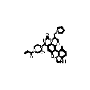 C=CC(=O)N1CCN(c2nc(=O)n3c4c(c(-c5c(C)ccc6[nH]cnc56)c(Cl)cc24)OCC3CN2CCCC2)[C@@H](C)C1